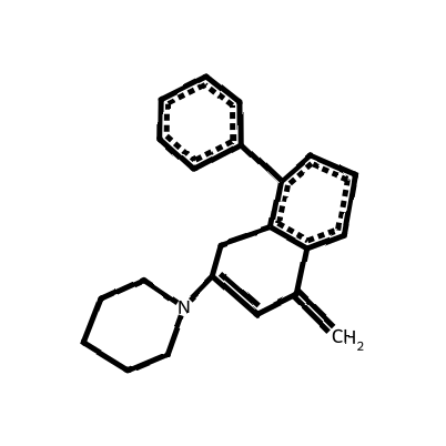 C=C1C=C(N2CCCCC2)Cc2c1cccc2-c1ccccc1